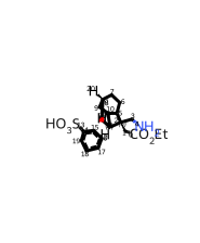 CCOC(=O)C[C@]1(CN)C2CC[C@H]3C[C@@H]2[C@@H]1C3.O=S(=O)(O)c1ccccc1